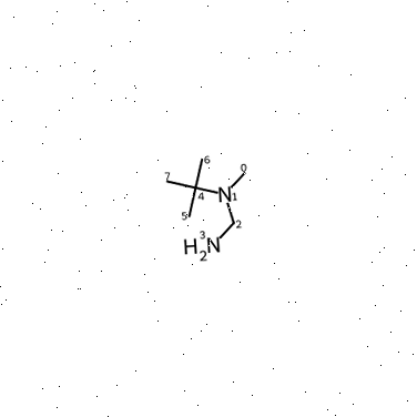 CN(CN)C(C)(C)C